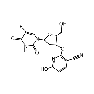 N#Cc1ccc(O)nc1OC1C[C@@H](n2cc(F)c(=O)[nH]c2=O)O[C@H]1CO